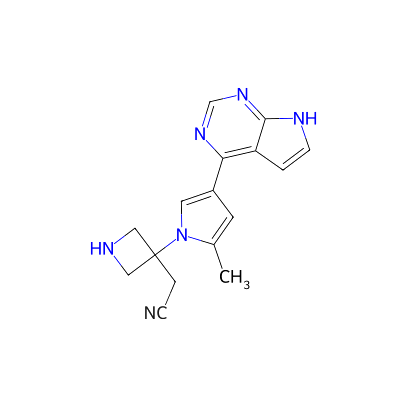 Cc1cc(-c2ncnc3[nH]ccc23)cn1C1(CC#N)CNC1